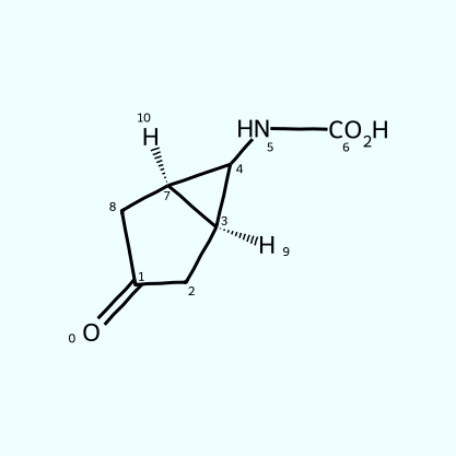 O=C1C[C@@H]2C(NC(=O)O)[C@@H]2C1